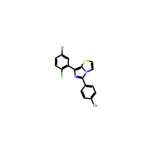 N#Cc1ccc(-c2nc(-c3cc(Br)ccc3Cl)c3sccn23)cc1